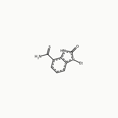 CCn1c(=O)[nH]c2c(C(N)=S)cccc21